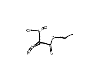 CCOC(=O)C(=[N+]=[N-])[N+](=O)[O-]